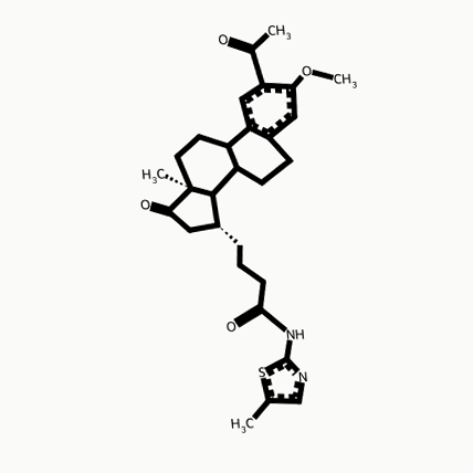 COc1cc2c(cc1C(C)=O)C1CC[C@]3(C)C(=O)C[C@@H](CCCC(=O)Nc4ncc(C)s4)C3C1CC2